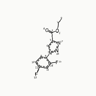 CCOC(=O)c1cn(-c2ccc(F)cc2F)nn1